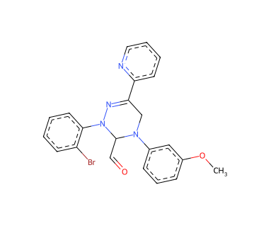 COc1cccc(N2CC(c3ccccn3)=NN(c3ccccc3Br)C2C=O)c1